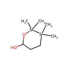 C[Si]1(C)CCC(O)O[Si]1(C)C